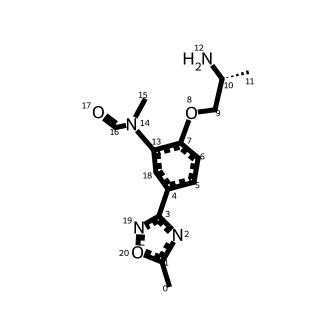 Cc1nc(-c2ccc(OC[C@@H](C)N)c(N(C)C=O)c2)no1